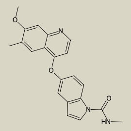 CNC(=O)n1ccc2cc(Oc3ccnc4cc(OC)c(C)cc34)ccc21